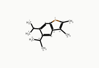 Cc1sc2cc(C(C)C)c(C(C)C)cc2c1C